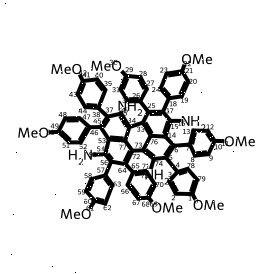 COc1ccc(-c2c(-c3ccc(OC)cc3)c3c(N)c(-c4ccc(OC)cc4)c(-c4ccc(OC)cc4)c4c5c(N)c(-c6ccc(OC)cc6)c(-c6ccc(OC)cc6)c6c(N)c(-c7ccc(OC)cc7)c(-c7ccc(OC)cc7)c(c(c2N)c34)c65)cc1